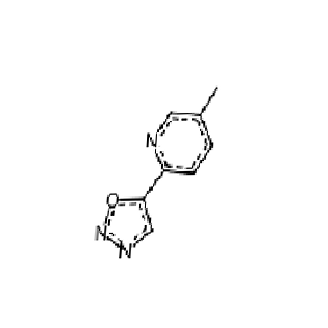 Cc1ccc(-c2cnno2)nc1